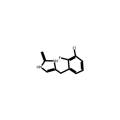 C=C1NC=C(Cc2cccc(Cl)c2F)N1